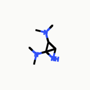 CN(C)C1C2NC21N(C)C